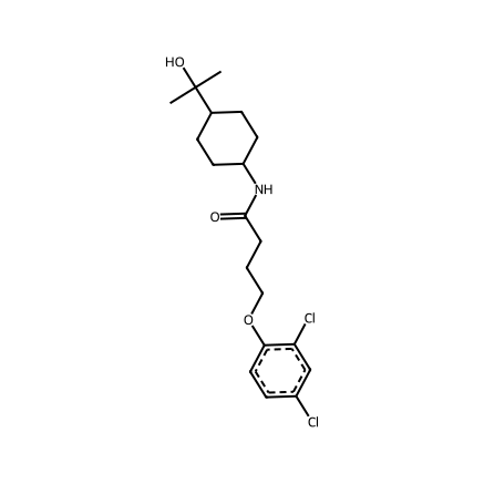 CC(C)(O)C1CCC(NC(=O)CCCOc2ccc(Cl)cc2Cl)CC1